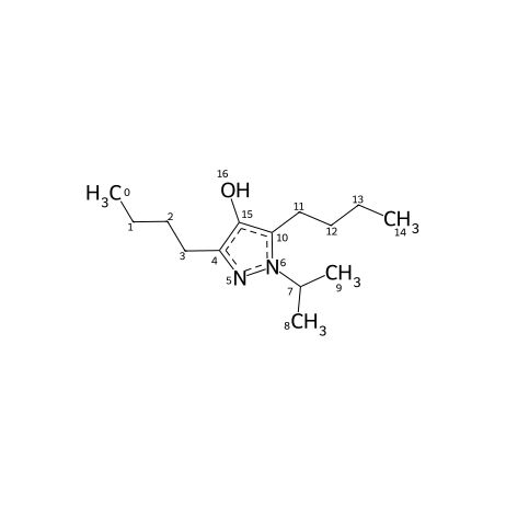 CCCCc1nn(C(C)C)c(CCCC)c1O